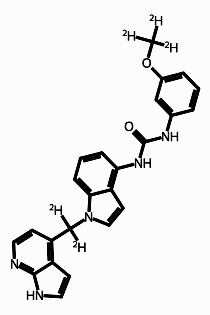 [2H]C([2H])([2H])Oc1cccc(NC(=O)Nc2cccc3c2ccn3C([2H])([2H])c2ccnc3[nH]ccc23)c1